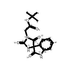 CC(C)(C)OC(=O)CN1C(=O)NC2(C(=O)Nc3ccccc32)C1=O